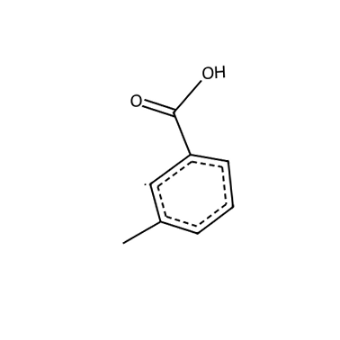 Cc1[c]c(C(=O)O)ccc1